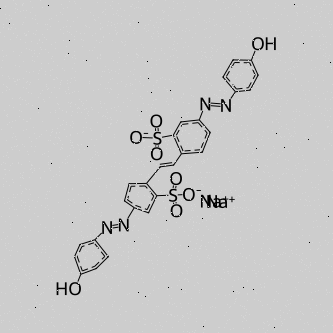 O=S(=O)([O-])c1cc(N=Nc2ccc(O)cc2)ccc1C=Cc1ccc(N=Nc2ccc(O)cc2)cc1S(=O)(=O)[O-].[Na+].[Na+]